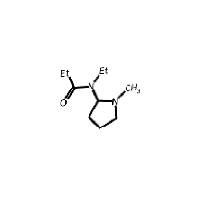 CCC(=O)N(CC)C1CCCN1C